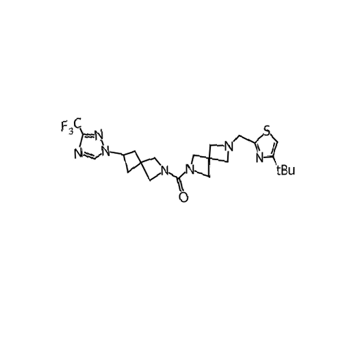 CC(C)(C)c1csc(CN2CC3(C2)CN(C(=O)N2CC4(CC(n5cnc(C(F)(F)F)n5)C4)C2)C3)n1